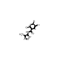 Cc1nonc1NC(=O)c1cc(F)c(Cl)nc1Cl